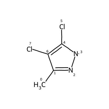 CC1=N[N]C(Cl)=C1Cl